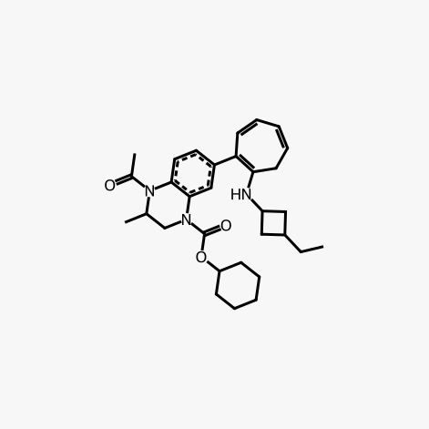 CCC1CC(NC2=C(c3ccc4c(c3)N(C(=O)OC3CCCCC3)CC(C)N4C(C)=O)C=CC=CC2)C1